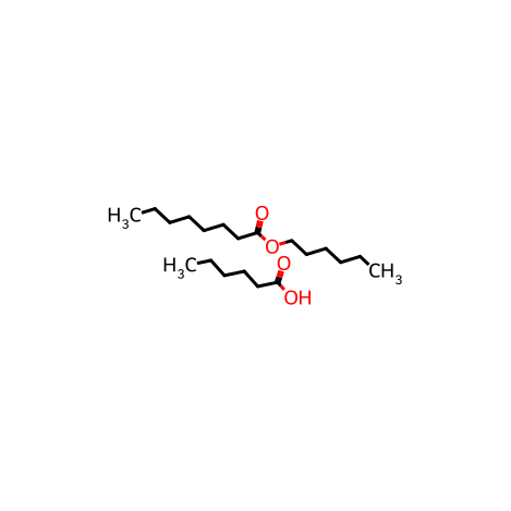 CCCCCC(=O)O.CCCCCCCC(=O)OCCCCCC